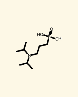 CC(C)N(CCCP(=O)(O)O)C(C)C